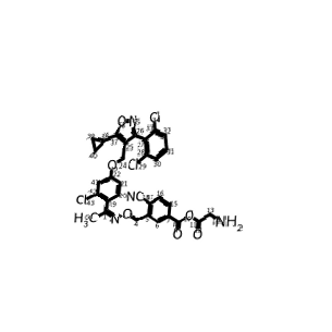 CC(=NOCc1cc(C(=O)OC(=O)CN)ccc1C#N)c1ccc(OCc2c(-c3c(Cl)cccc3Cl)noc2C2CC2)cc1Cl